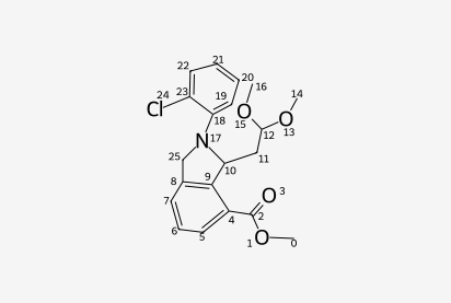 COC(=O)c1cccc2c1C(CC(OC)OC)N(c1ccccc1Cl)C2